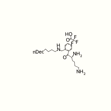 CCCCCCCCCCCCCCNCc1ccccc1C(=O)[C@@H](N)CCCCN.O=C(O)C(F)(F)F